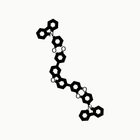 c1ccc2c(c1)c1ccccc1n2-c1ccc2c(c1)Oc1cc(-c3ccc4oc5ccc(-c6ccc7c(c6)Oc6cc(-n8c9ccccc9c9ccccc98)ccc6O7)cc5c4c3)ccc1O2